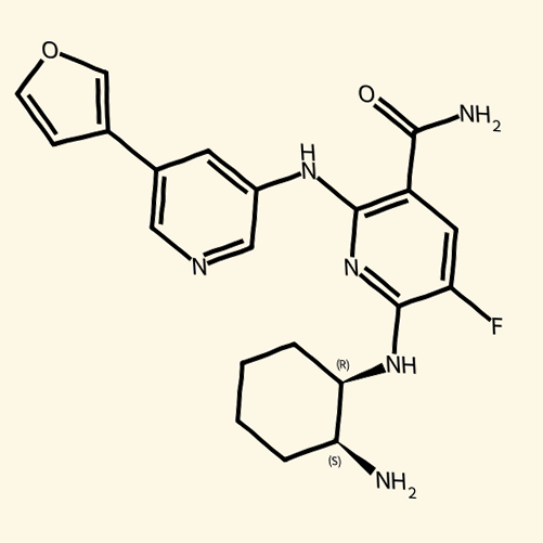 NC(=O)c1cc(F)c(N[C@@H]2CCCC[C@@H]2N)nc1Nc1cncc(-c2ccoc2)c1